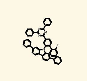 Fc1ccccc1-c1ccc(-c2nc(-c3ccccc3)nc(-c3ccccc3)n2)cc1-n1c2cc(-c3ccccc3)ccc2c2ccc(-c3ccccc3)cc21